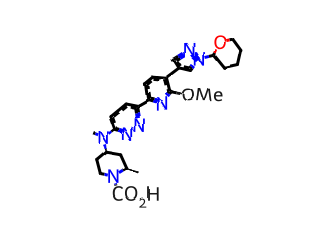 COc1nc(-c2ccc(N(C)[C@@H]3CCN(C(=O)O)[C@H](C)C3)nn2)ccc1-c1cnn(C2CCCCO2)c1